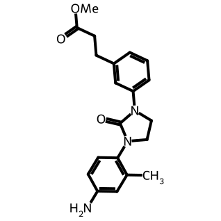 COC(=O)CCc1cccc(N2CCN(c3ccc(N)cc3C)C2=O)c1